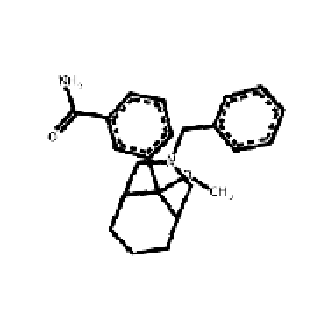 COC1(c2cccc(C(N)=O)c2)C2CCCC1CN(Cc1ccccc1)C2